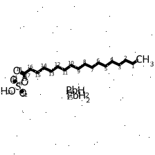 CCCCCCCCCCCCCCCCCC(=O)OS(=O)(=O)O.[PbH2].[PbH2]